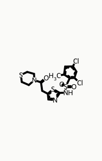 Cc1cc(Cl)cc(Cl)c1S(=O)(=O)Nc1ncc(CC(=O)N2CCSCC2)s1